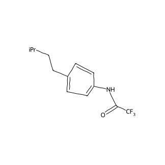 CC(C)CCc1ccc(NC(=O)C(F)(F)F)cc1